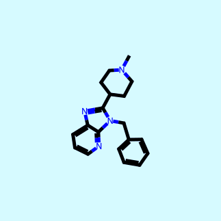 CN1CCC(c2nc3cccnc3n2Cc2ccccc2)CC1